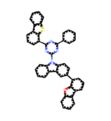 c1ccc(-c2nc(-c3cccc4c3sc3ccccc34)nc(-n3c4ccccc4c4cc(-c5cccc6c5oc5ccccc56)ccc43)n2)cc1